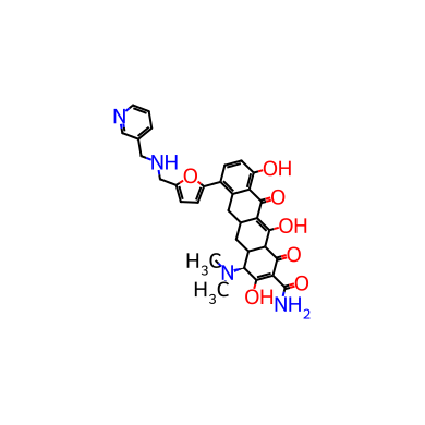 CN(C)[C@@H]1C(O)=C(C(N)=O)C(=O)C2C(O)=C3C(=O)c4c(O)ccc(-c5ccc(CNCc6cccnc6)o5)c4CC3CC21